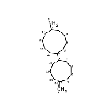 C[C@@H]1CCCCC(C2CCCCC(N)CCCC2)CCC1